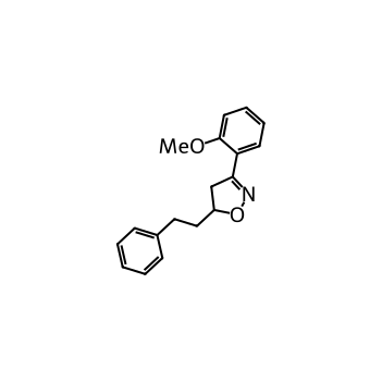 COc1ccccc1C1=NOC(CCc2ccccc2)C1